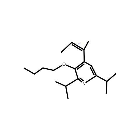 C/C=C(/C)c1cc(C(C)C)nc(C(C)C)c1OCCCC